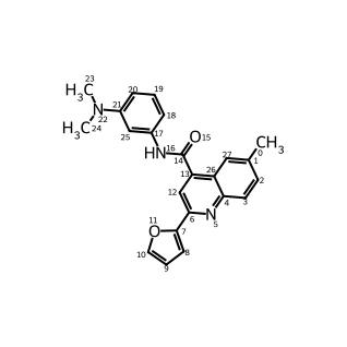 Cc1ccc2nc(-c3ccco3)cc(C(=O)Nc3cccc(N(C)C)c3)c2c1